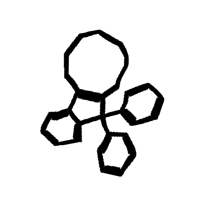 c1ccc(C2(c3ccccc3)C3=C(CCCCCCC3)c3ccccc32)cc1